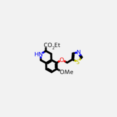 CCOC(=O)C1Cc2c(ccc(OC)c2OCc2cncs2)CN1